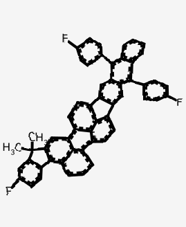 CC1(C)c2cc(F)ccc2-c2c1cc1c3ccc4c5c(ccc(c6cccc2c61)c53)-c1cc2c(-c3ccc(F)cc3)c3ccccc3c(-c3ccc(F)cc3)c2cc1-4